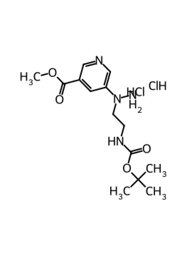 COC(=O)c1cncc(N(N)CCNC(=O)OC(C)(C)C)c1.Cl.Cl